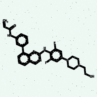 C=CC(=O)Nc1cccc(-c2cccc3cnc(Nc4c(F)cc(N5CCN(CCO)CC5)cc4F)nc23)c1